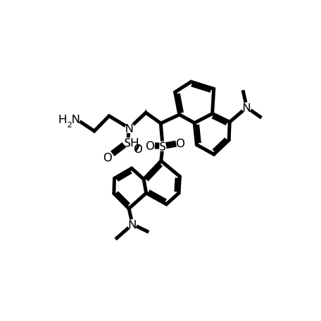 CN(C)c1cccc2c(C([CH]N(CCN)[SH](=O)=O)S(=O)(=O)c3cccc4c(N(C)C)cccc34)cccc12